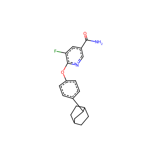 NC(=O)c1cnc(Oc2ccc(C3CC4CCC3CC4)cc2)c(F)c1